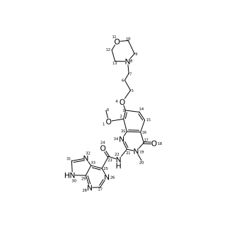 COc1c(OCCCN2CCOCC2)ccc2c(=O)n(C)c(NC(=O)c3ncnc4[nH]cnc34)nc12